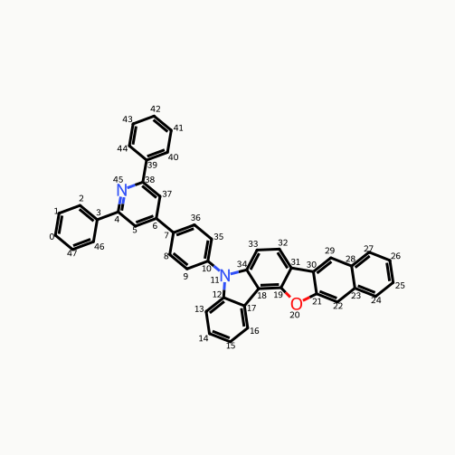 c1ccc(-c2cc(-c3ccc(-n4c5ccccc5c5c6oc7cc8ccccc8cc7c6ccc54)cc3)cc(-c3ccccc3)n2)cc1